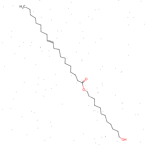 CCCCCCCCC=CCCCCCCCCCC(=O)OCCCCCCCCCCCCO